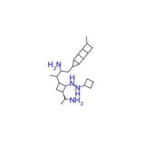 CC1CC2C1C1C2C2C(CC(N)C(C)C3C[C@H](C(C)N)C3NNC3CCC3)C21